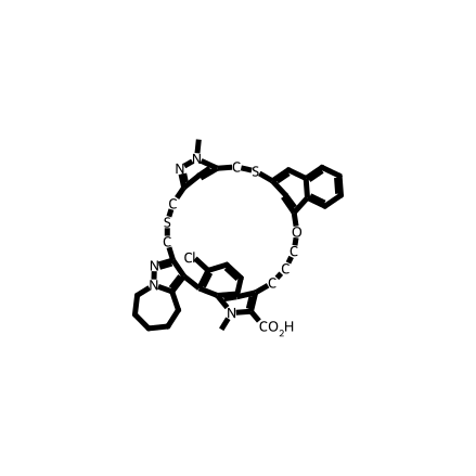 Cn1nc2cc1CSc1cc(c3ccccc3c1)OCCCc1c(C(=O)O)n(C)c3c(c(Cl)ccc13)-c1c(nn3c1CCCCC3)CSC2